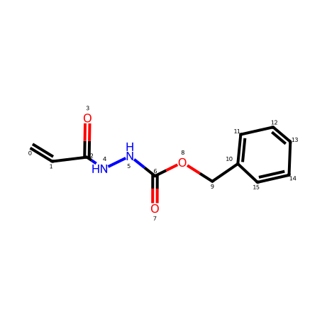 C=CC(=O)NNC(=O)OCc1ccccc1